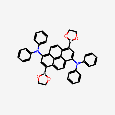 c1ccc(N(c2ccccc2)c2cc(B3OCCO3)c3ccc4c(N(c5ccccc5)c5ccccc5)cc(B5OCCO5)c5ccc2c3c54)cc1